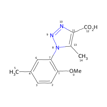 COc1ccc(C)cc1-n1nnc(C(=O)O)c1C